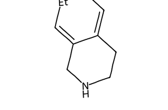 C/C=C1/CCNC/C1=C/CC